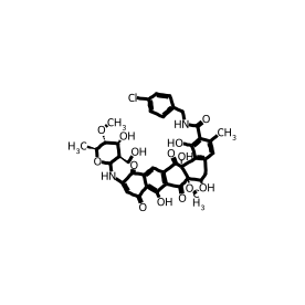 CO[C@@H]1[C@@H](O)[C@@H](CO)C(NC2=CC(=O)c3c(cc4c(c3O)C(=O)[C@]3(OC)[C@H](O)Cc5cc(C)c(C(=O)NCc6ccc(Cl)cc6)c(O)c5[C@]3(O)C4=O)C2=O)O[C@H]1C